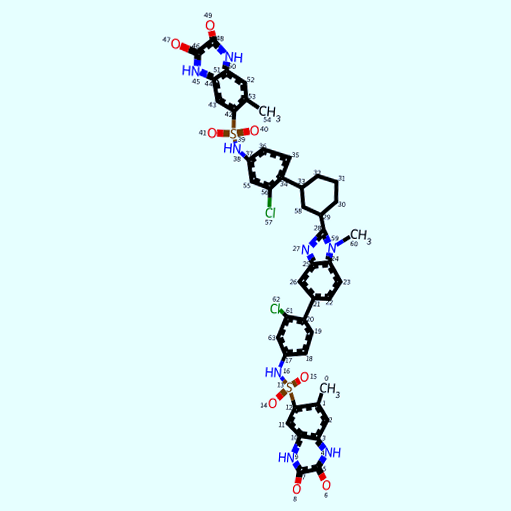 Cc1cc2[nH]c(=O)c(=O)[nH]c2cc1S(=O)(=O)Nc1ccc(-c2ccc3c(c2)nc(C2CCCC(c4ccc(NS(=O)(=O)c5cc6[nH]c(=O)c(=O)[nH]c6cc5C)cc4Cl)C2)n3C)c(Cl)c1